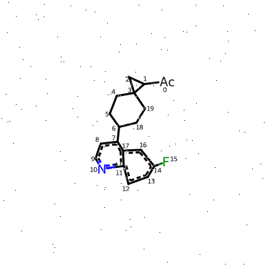 CC(=O)C1CC12CCC(c1ccnc3ccc(F)cc13)CC2